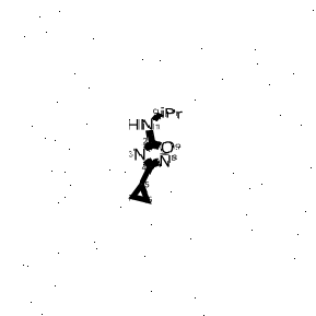 CC(C)Nc1nc(C2CC2)no1